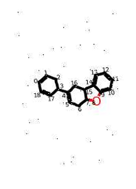 C1=CCC(C2=CCC3Oc4ccccc4C3C2)C=C1